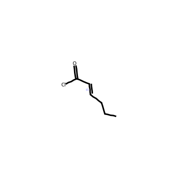 CCC/C=C/C(=O)Cl